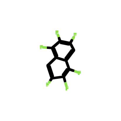 Fc1cc2c(F)c(F)c(F)cc2c(F)c1F